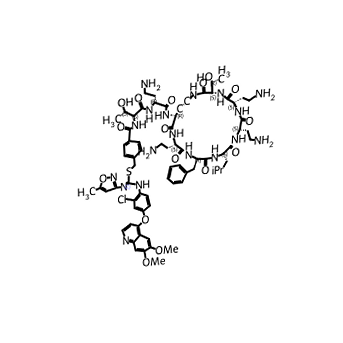 COc1cc2nccc(Oc3ccc(N/C(=N/c4cc(C)on4)SCc4ccc(C(=O)N[C@H](C(=O)N[C@H](CCN)C(=O)N[C@@H]5CCNC(=O)[C@H]([C@@H](C)O)NC(=O)[C@H](CCN)NC(=O)[C@H](CCN)NC(=O)[C@H](CC(C)C)NC(=O)[C@@H](Cc6ccccc6)NC(=O)[C@H](CCN)NC5=O)[C@H](C)O)cc4)c(Cl)c3)c2cc1OC